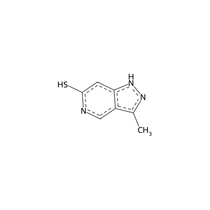 Cc1n[nH]c2cc(S)ncc12